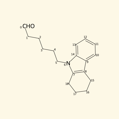 O=CCCCCCn1c2c(c3ccccc31)CCCC2